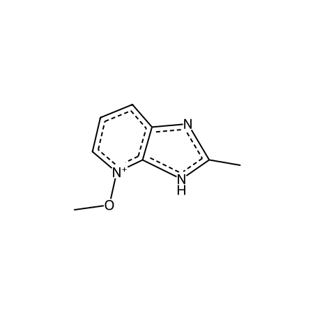 CO[n+]1cccc2nc(C)[nH]c21